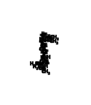 COC(=O)N[C@H](C(=O)N1CCC[C@H]1c1ccc(-c2ccc3c(c2)oc2cc(-c4cnc([C@@H]5CCCN5C(=O)C[C@@H](C)OC)[nH]4)ccc23)[nH]1)[C@@H](C)OC